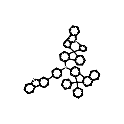 c1ccc(C2(c3ccccc3)c3cc(N(c4ccc(-c5ccc6c(c5)sc5ccccc56)cc4)c4cccc5c4-c4ccccc4C54c5ccccc5-n5c6ccccc6c6cccc4c65)ccc3-c3c2ccc2ccccc32)cc1